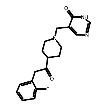 O=C(Cc1ccccc1F)C1CCN(Cc2cnc[nH]c2=O)CC1